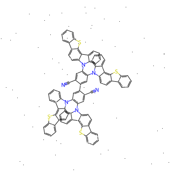 N#Cc1cc(-n2c3ccccc3c3c4sc5ccccc5c4ccc32)c(-n2c3ccccc3c3c4sc5ccccc5c4ccc32)cc1-c1cc(-n2c3ccccc3c3c4sc5ccccc5c4ccc32)c(-n2c3ccccc3c3c4sc5ccccc5c4ccc32)cc1C#N